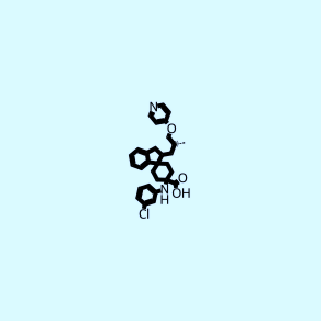 C[C@@H](COc1ccncc1)CC1Cc2ccccc2C12CCC(Nc1cccc(Cl)c1)(C(=O)O)CC2